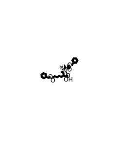 O=C(CCC/C=C(/C(=O)O)c1csc(NC(=O)OCc2ccccc2)n1)OCc1ccccc1